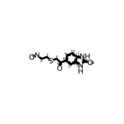 O=NCCSCC(=O)c1ccc2[nH]c(=O)[nH]c2c1